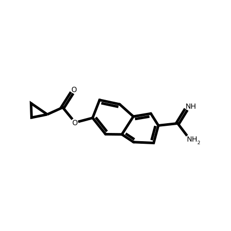 N=C(N)c1ccc2cc(OC(=O)C3CC3)ccc2c1